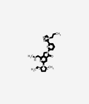 C=C[C@@H]1CC[C@@H](C)N1c1cc2c(c(CNC)n1)CN(c1cccc(-c3nncn3CCC)n1)C2=O